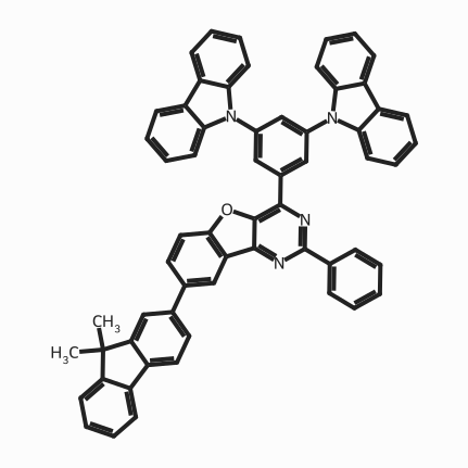 CC1(C)c2ccccc2-c2ccc(-c3ccc4oc5c(-c6cc(-n7c8ccccc8c8ccccc87)cc(-n7c8ccccc8c8ccccc87)c6)nc(-c6ccccc6)nc5c4c3)cc21